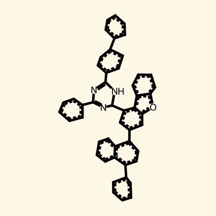 c1ccc(C2=NC(c3cc(-c4ccc(-c5ccccc5)c5ccccc45)cc4oc5ccccc5c34)NC(c3ccc(-c4ccccc4)cc3)=N2)cc1